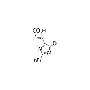 CCCC1=NC(=O)C(C=CC(=O)O)=N1